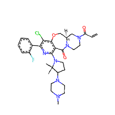 C=CC(=O)N1CCN2C(=O)c3c(N4CCC(N5CCN(C)CC5)C4(C)C)nc(-c4ccccc4F)c(Cl)c3OC[C@H]2C1